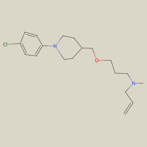 C=CCN(C)CCCOCC1CCN(c2[c]cc(Cl)cc2)CC1